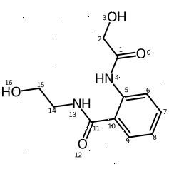 O=C(CO)Nc1ccccc1C(=O)NCCO